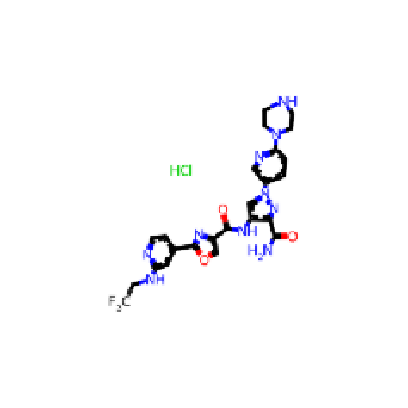 Cl.NC(=O)c1nn(-c2ccc(N3CCNCC3)nc2)cc1NC(=O)c1coc(-c2ccnc(NCC(F)(F)F)c2)n1